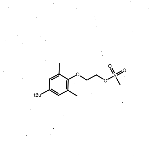 Cc1cc(C(C)(C)C)cc(C)c1OCCOS(C)(=O)=O